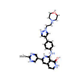 CNc1ncc(-c2cc3cc[nH]c(=O)c3c(Nc3ccc(-c4cnn(CCN5CCOCC5)c4)cc3)n2)cn1